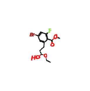 CCOC(O)CCc1cc(Br)cc(F)c1C(=O)OC